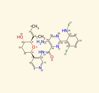 C/C=C(\C)[C@H]1O[C@@H](c2ccncc2NC(=O)c2nc(-c3c(F)cccc3NF)ncc2N)CC[C@@H]1O